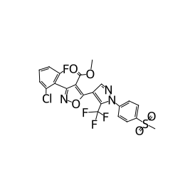 COC(=O)c1c(-c2c(F)cccc2Cl)noc1-c1cnn(-c2ccc(S(C)(=O)=O)cc2)c1C(F)(F)F